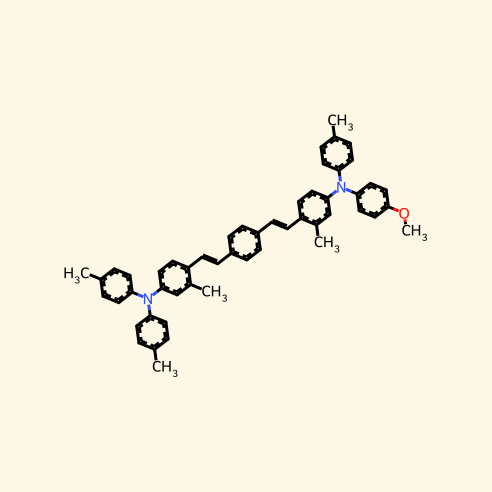 COc1ccc(N(c2ccc(C)cc2)c2ccc(C=Cc3ccc(C=Cc4ccc(N(c5ccc(C)cc5)c5ccc(C)cc5)cc4C)cc3)c(C)c2)cc1